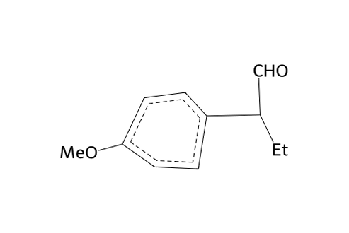 CCC(C=O)c1ccc(OC)cc1